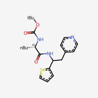 [CH2]CCC[C@H](NC(=O)OC(C)(C)C)C(=O)NC(Cc1ccncc1)c1cccs1